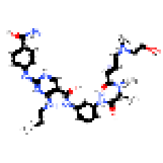 CCCNc1nc(Nc2ccc(C(N)=O)cc2)ncc1C(=O)Nc1cccc(NC(=O)[C@H](C)N(C)C(=O)/C=C/CN(C)CCO)c1